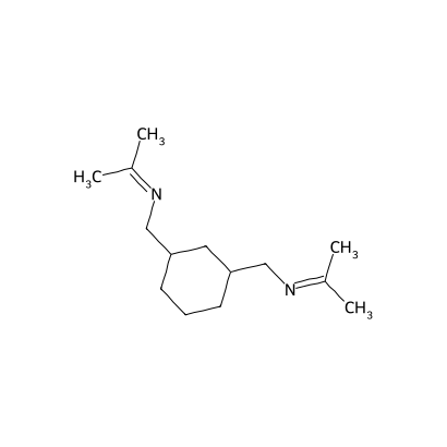 CC(C)=NCC1CCCC(CN=C(C)C)C1